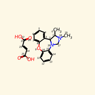 CC1C2c3ccccc3Oc3ccccc3N2CN1C.O=C(O)C=CC(=O)O